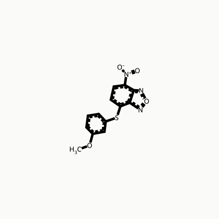 COc1cccc(Sc2ccc([N+](=O)[O-])c3nonc23)c1